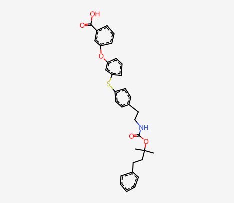 CC(C)(CCc1ccccc1)OC(=O)NCCc1ccc(Sc2cccc(Oc3cccc(C(=O)O)c3)c2)cc1